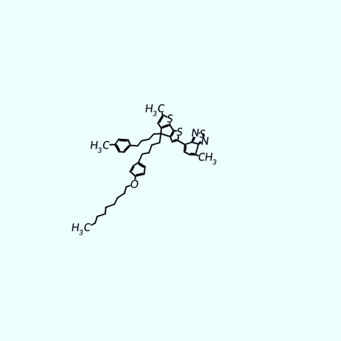 CCCCCCCCCOc1ccc(CCCCC2(CCCCc3ccc(C)cc3)c3cc(C)sc3-c3sc(-c4ccc(C)c5nsnc45)cc32)cc1